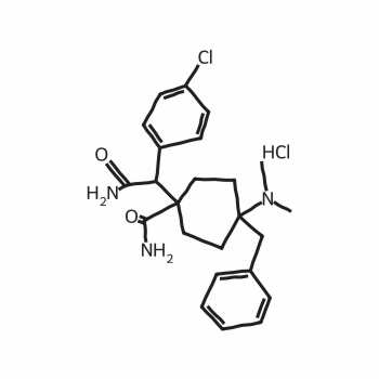 CN(C)C1(Cc2ccccc2)CCC(C(N)=O)(C(C(N)=O)c2ccc(Cl)cc2)CC1.Cl